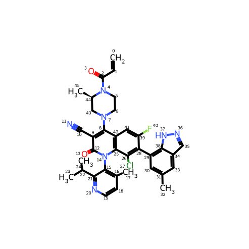 C=CC(=O)N1CCN(c2c(C#N)c(=O)n(-c3c(C)ccnc3C(C)C)c3c(Cl)c(-c4cc(C)cc5cn[nH]c45)c(F)cc23)C[C@H]1C